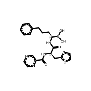 O=C(N[C@H](Cc1ncco1)C(=O)N[C@@H](CCCc1ccccc1)B(O)O)c1cnccn1